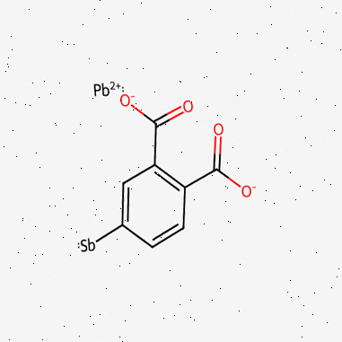 O=C([O-])c1cc[c]([Sb])cc1C(=O)[O-].[Pb+2]